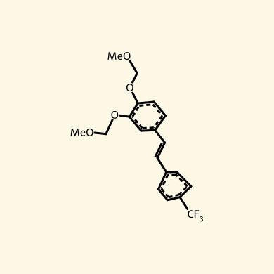 COCOc1ccc(C=Cc2ccc(C(F)(F)F)cc2)cc1OCOC